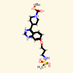 CC(C)(C)OC(=O)N1CCC(c2ncnc3cc(OCCCNS(C)(=O)=O)ccc23)CC1